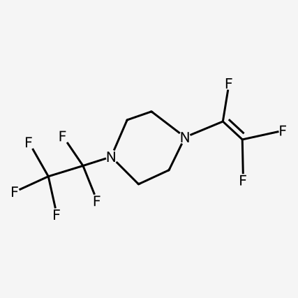 FC(F)=C(F)N1CCN(C(F)(F)C(F)(F)F)CC1